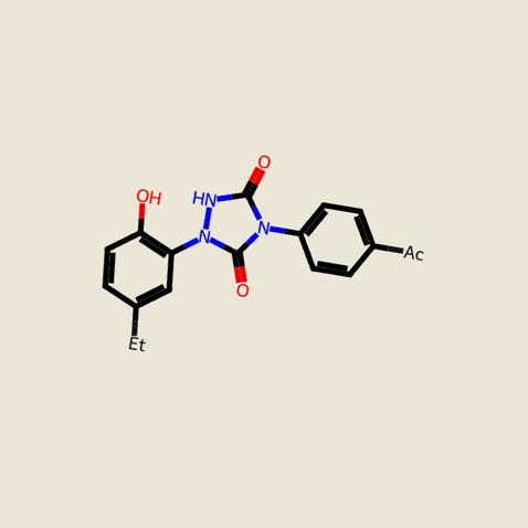 CCc1ccc(O)c(-n2[nH]c(=O)n(-c3ccc(C(C)=O)cc3)c2=O)c1